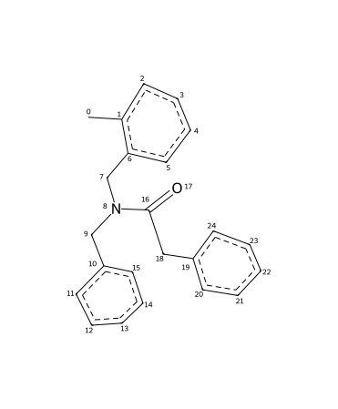 Cc1ccccc1CN(Cc1ccccc1)C(=O)Cc1ccccc1